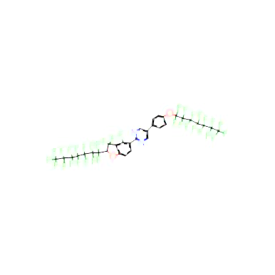 Fc1c(-c2ncc(-c3ccc(OC(F)(F)C(F)(F)C(F)(F)C(F)(F)C(F)(F)C(F)(F)C(F)(F)F)cc3)cn2)ccc2c1C(F)(F)C(C(F)(F)C(F)(F)C(F)(F)C(F)(F)C(F)(F)C(F)(F)C(F)(F)F)O2